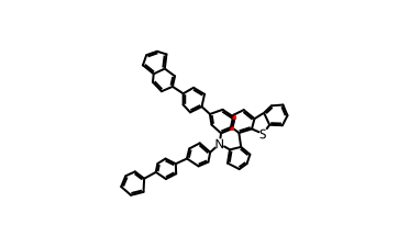 c1ccc(-c2ccc(-c3ccc(N(c4cccc(-c5ccc(-c6ccc7ccccc7c6)cc5)c4)c4ccccc4-c4cccc5c4sc4ccccc45)cc3)cc2)cc1